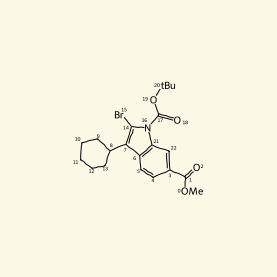 COC(=O)c1ccc2c(C3CCCCC3)c(Br)n(C(=O)OC(C)(C)C)c2c1